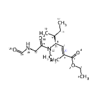 CCOC(=O)/C(C)=C/[C@H](C(C)CC)N(C)C(=O)CNC=O